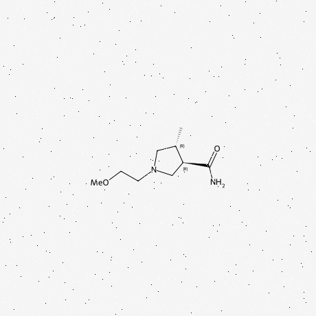 COCCN1C[C@H](C(N)=O)[C@@H](C)C1